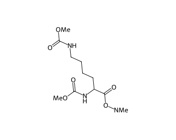 CNOC(=O)C(CCCCNC(=O)OC)NC(=O)OC